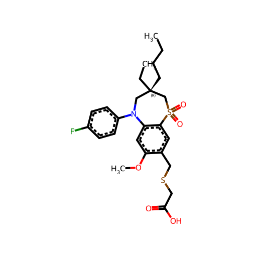 CCCC[C@]1(CC)CN(c2ccc(F)cc2)c2cc(OC)c(CSCC(=O)O)cc2S(=O)(=O)C1